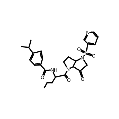 CCCC(NC(=O)c1ccc(C(C)C)cc1)C(=O)N1CCC2C1C(=O)CN2S(=O)(=O)c1cccnc1